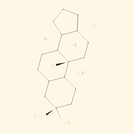 CC(=O)O[C@]1(O)CC[C@@]2(C)C(CC[C@H]3[C@H]4CCC[C@@]4(C)CC[C@@H]32)C1